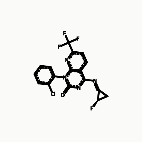 O=c1nc(/N=C2/C[C@H]2F)c2ccc(C(F)(F)F)nc2n1-c1ccccc1Cl